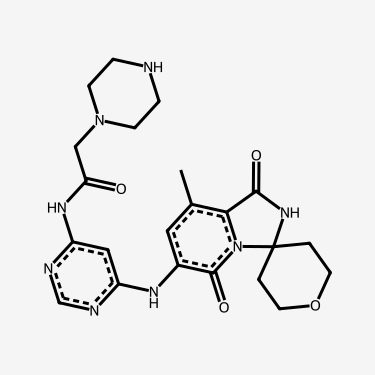 Cc1cc(Nc2cc(NC(=O)CN3CCNCC3)ncn2)c(=O)n2c1C(=O)NC21CCOCC1